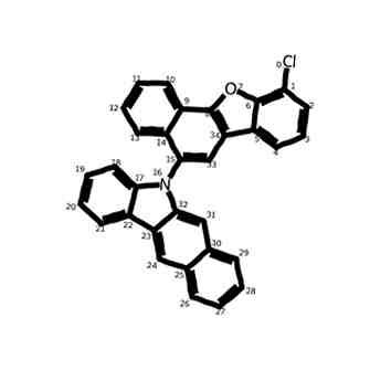 Clc1cccc2c1oc1c3ccccc3c(-n3c4ccccc4c4cc5ccccc5cc43)cc21